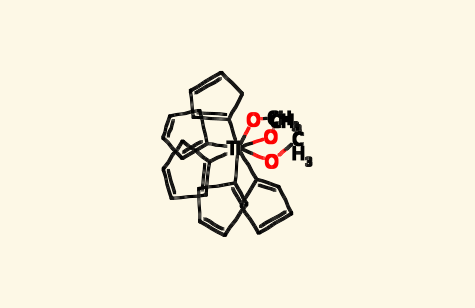 C[O][Ti]([O]C)([O]C)([C]1=CC=CC1)([C]1=CC=CC1)([C]1=CC=CC1)([C]1=CC=CC1)[C]1=CC=CC1